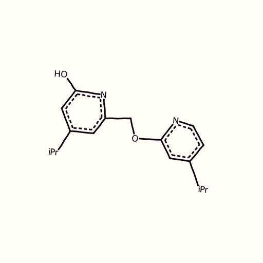 CC(C)c1cc(O)nc(COc2cc(C(C)C)ccn2)c1